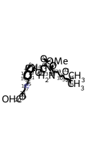 COC(=O)[C@@H]1C[C@@H](Oc2nccc3ccc(/C=C/CCOC=O)cc23)CN1C(=O)[C@@H](N)CCC(=O)C=C(C)C